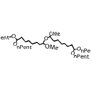 CCCCCOC(CCCCCCC(OC)OC(CCCCCCC(OCCCCC)OCCCCC)OC)OCCCCC